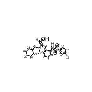 CB(O)N(Cc1ccccc1NS(=O)(=O)c1ccc(C)s1)[C@@H](C)CC1CCCCC1